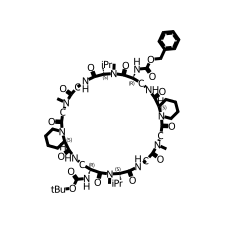 CC(C)[C@H]1C(=O)NCC(=O)N(C)CC(=O)N2CCCC[C@H]2C(=O)NC[C@@H](NC(=O)OC(C)(C)C)C(=O)N(C)[C@@H](C(C)C)C(=O)NCC(=O)N(C)CC(=O)N2CCCC[C@H]2C(=O)NC[C@@H](NC(=O)OCc2ccccc2)C(=O)N1C